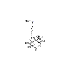 CCCCCCCC/C=C\CCCCCCCC(=O)O[C@H]1[C@@H](O[C@H]2O[C@H](CO)[C@@H](O)[C@H](O)[C@H]2O)O[C@H](CO)[C@@H](O)[C@@H]1O